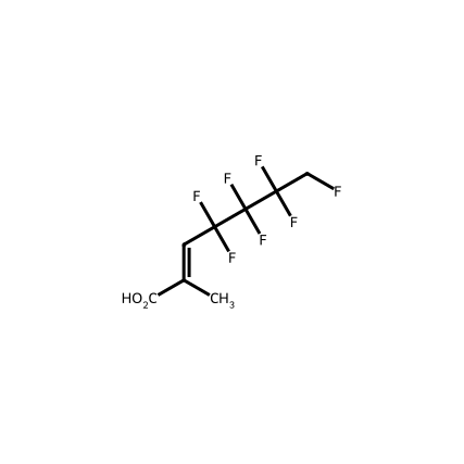 CC(=CC(F)(F)C(F)(F)C(F)(F)CF)C(=O)O